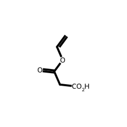 C=COC(=O)CC(=O)O